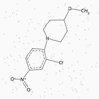 COC1CCN(c2ccc([N+](=O)[O-])cc2Cl)CC1